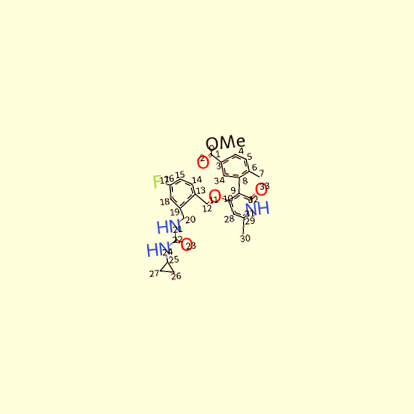 COC(=O)c1ccc(C)c(-c2c(OCc3ccc(F)cc3CNC(=O)NC3CC3)cc(C)[nH]c2=O)c1